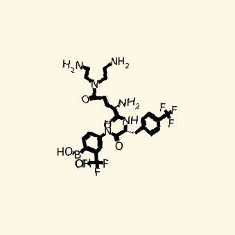 NCCN(CCN)C(=O)CC[C@H](N)C(=O)N[C@H](Cc1ccc(C(F)(F)F)cc1)C(=O)Nc1ccc(B(O)O)c(C(F)(F)F)c1